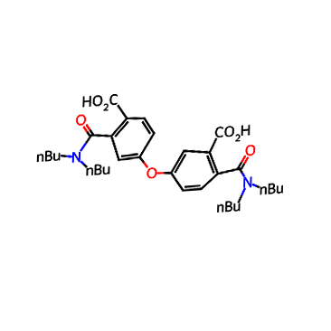 CCCCN(CCCC)C(=O)c1ccc(Oc2ccc(C(=O)O)c(C(=O)N(CCCC)CCCC)c2)cc1C(=O)O